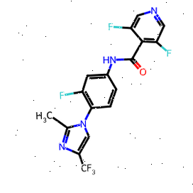 Cc1nc(C(F)(F)F)cn1-c1ccc(NC(=O)c2c(F)cncc2F)cc1F